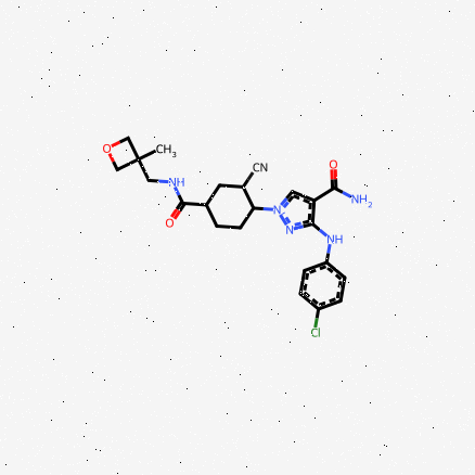 CC1(CNC(=O)C2CCC(n3cc(C(N)=O)c(Nc4ccc(Cl)cc4)n3)C(C#N)C2)COC1